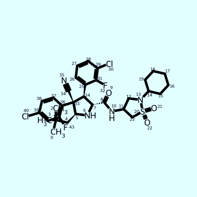 CC(C)(C)C[C@@H]1N[C@@H](C(=O)NC2CN(C3CCCCC3)S(=O)(=O)C2)[C@H](c2cccc(Cl)c2F)[C@@]1(C#N)c1ccc(Cl)cc1F